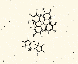 CC1=C(C)C(C)(C)[C]([Sm+][C]2=C(C)C(C)=C(C)C2(C)C)=C1C.Fc1c(F)c(F)c([B-](c2c(F)c(F)c(F)c(F)c2F)(c2c(F)c(F)c(F)c(F)c2F)c2c(F)c(F)c(F)c(F)c2F)c(F)c1F